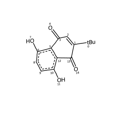 CC(C)(C)C1=CC(=O)c2c(O)ccc(O)c2C1=O